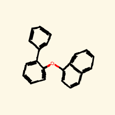 c1ccc(-c2ccccc2Oc2cccc3ccccc23)cc1